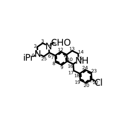 CC(C)N1CCN(C=O)C(c2ccc3c(c2)CCNC3Cc2ccc(Cl)cc2)C1